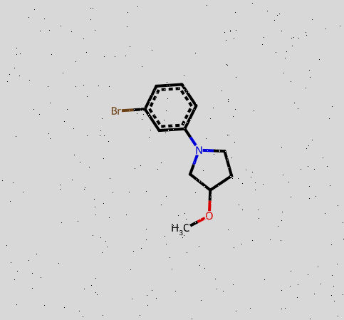 COC1CCN(c2cccc(Br)c2)C1